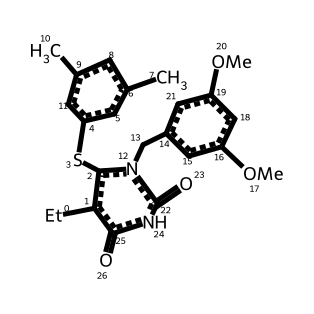 CCc1c(Sc2cc(C)cc(C)c2)n(Cc2cc(OC)cc(OC)c2)c(=O)[nH]c1=O